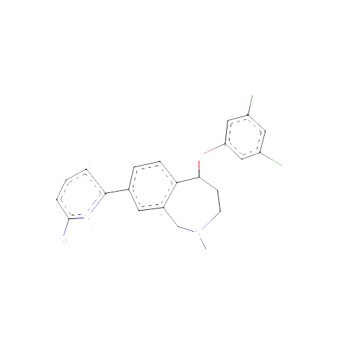 CN1CCC(Oc2cc(F)cc(F)c2)c2ccc(-c3cccc(N)n3)cc2C1